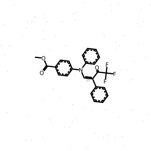 COC(=O)c1ccc(N(/C=C(\C(=O)C(F)(F)F)c2ccccc2)c2ccccc2)cc1